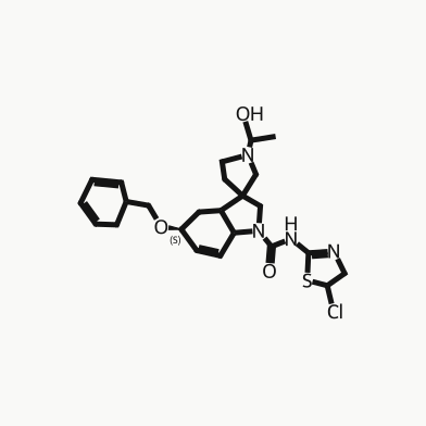 CC(O)N1CCC2(C1)CN(C(=O)NC1=NCC(Cl)S1)C1C=C[C@@H](OCC3C=CC=CC3)CC12